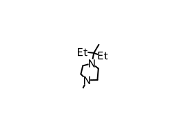 [CH2]CC(C)(CC)N1CCN(C)CC1